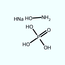 NO.O=P(O)(O)O.[NaH]